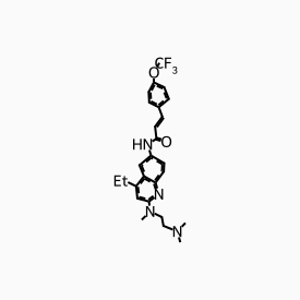 CCc1cc(N(C)CCN(C)C)nc2ccc(NC(=O)C=Cc3ccc(OC(F)(F)F)cc3)cc12